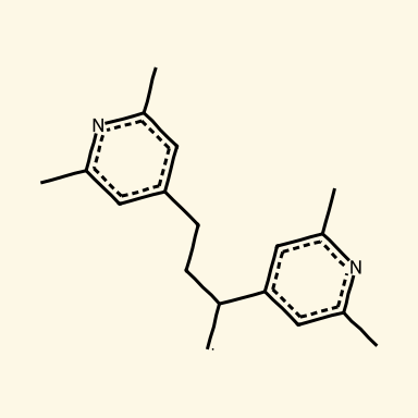 [CH2]C(CCc1cc(C)nc(C)c1)c1cc(C)nc(C)c1